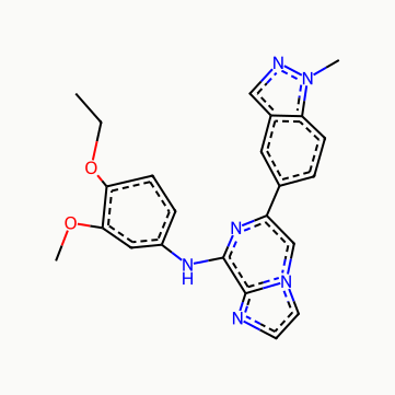 CCOc1ccc(Nc2nc(-c3ccc4c(cnn4C)c3)cn3ccnc23)cc1OC